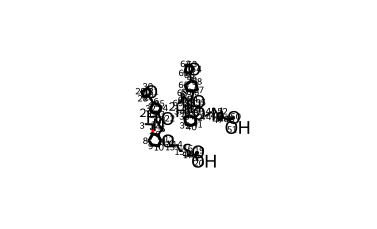 [2H]C(C)(C)N(Cc1ccccc1OCCCSCC(=O)O)C(=O)c1ccc(-c2ccco2)cc1.[2H]C([2H])(c1ccccc1OCCN1CC(C(=O)O)C1)N(C(=O)c1ccc(-c2ccco2)cc1)C(C)C